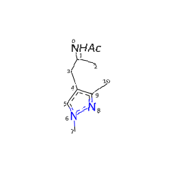 CC(=O)NC(C)Cc1cn(C)nc1C